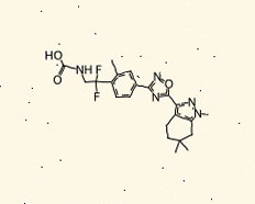 Cc1cc(-c2noc(-c3nn(C)c4c3CCC(C)(C)C4)n2)ccc1C(F)(F)CNC(=O)O